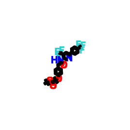 CC(C)(C)OC(=O)C(C)(C)Oc1ccc(CC(=O)Nc2cnc(-c3ccc(C(F)(F)F)cc3)cc2C(F)(F)F)cc1